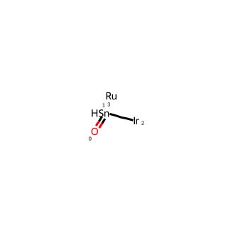 [O]=[SnH][Ir].[Ru]